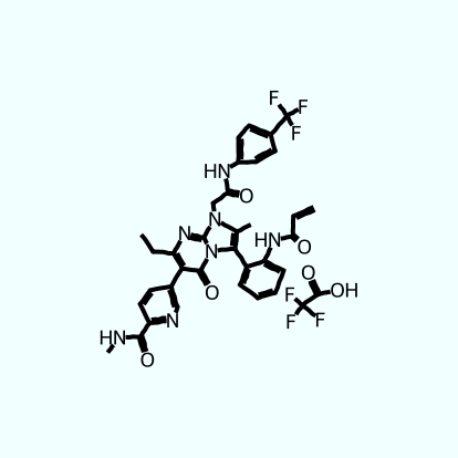 C=CC(=O)Nc1ccccc1-c1c(C)n(CC(=O)Nc2ccc(C(F)(F)F)cc2)c2nc(CC)c(-c3ccc(C(=O)NC)nc3)c(=O)n12.O=C(O)C(F)(F)F